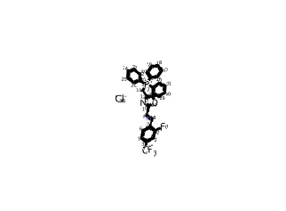 Fc1cc(C(F)(F)F)ccc1/C=C/c1nc(C[P+](c2ccccc2)(c2ccccc2)c2ccccc2)co1.[Cl-]